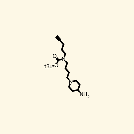 C#CCCCN(CCCCN1CCC(N)CC1)C(=O)OC(C)(C)C